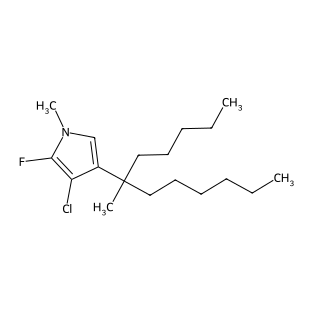 CCCCCCC(C)(CCCCC)c1cn(C)c(F)c1Cl